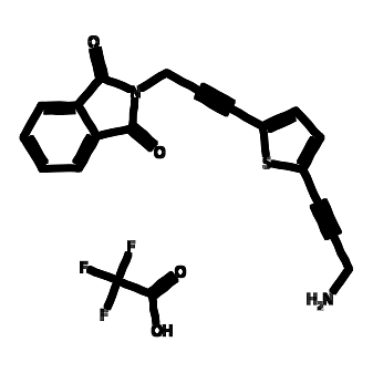 NCC#Cc1ccc(C#CCN2C(=O)c3ccccc3C2=O)s1.O=C(O)C(F)(F)F